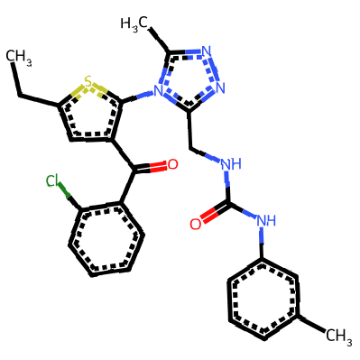 CCc1cc(C(=O)c2ccccc2Cl)c(-n2c(C)nnc2CNC(=O)Nc2cccc(C)c2)s1